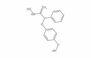 C=C(NO)C(Oc1ccc(OCCC)cc1)c1ccccc1